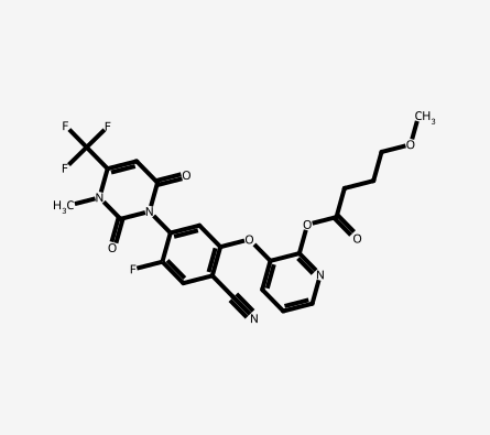 COCCCC(=O)Oc1ncccc1Oc1cc(-n2c(=O)cc(C(F)(F)F)n(C)c2=O)c(F)cc1C#N